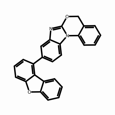 c1ccc2c(c1)COc1nc3cc(-c4cccc5oc6ccccc6c45)ccc3n1-2